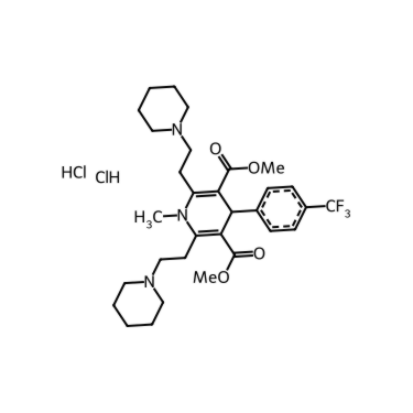 COC(=O)C1=C(CCN2CCCCC2)N(C)C(CCN2CCCCC2)=C(C(=O)OC)C1c1ccc(C(F)(F)F)cc1.Cl.Cl